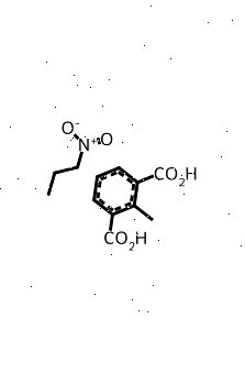 CCC[N+](=O)[O-].Cc1c(C(=O)O)cccc1C(=O)O